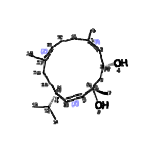 C/C1=C/[C@H](O)C[C@](C)(O)/C=C\[C@H](C(C)C)CC/C(C)=C\CC1